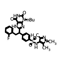 CCCCn1c(=O)[nH]c(=O)c2[nH]c(C(Cc3ccccc3F)c3ccc(S(=O)(=O)Nc4c(C)nn(C)c4C)cc3)nc21